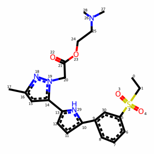 CCS(=O)(=O)c1cccc(-c2ccc(-c3cc(C)nn3CC(=O)OCCN(C)C)[nH]2)c1